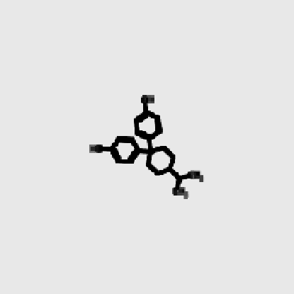 CC(C)C1CCC(c2ccc(O)cc2)(c2ccc(O)cc2)CC1